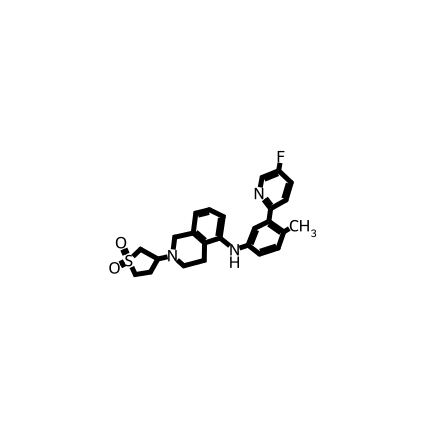 Cc1ccc(Nc2cccc3c2CCN(C2CCS(=O)(=O)C2)C3)cc1-c1ccc(F)cn1